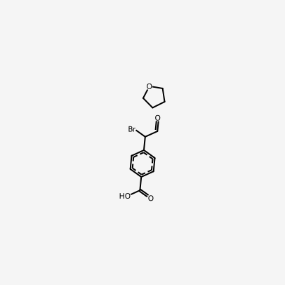 C1CCOC1.O=CC(Br)c1ccc(C(=O)O)cc1